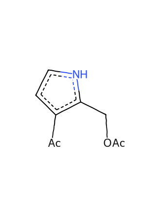 CC(=O)OCc1[nH]ccc1C(C)=O